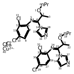 CCCOC(C)C(=Nc1ccc(Cl)cc1Cl)n1ccnc1.CCCOC(C)C(=Nc1ccc(Cl)cc1Cl)n1ccnc1.[Cl-].[Cl-].[Cu+2]